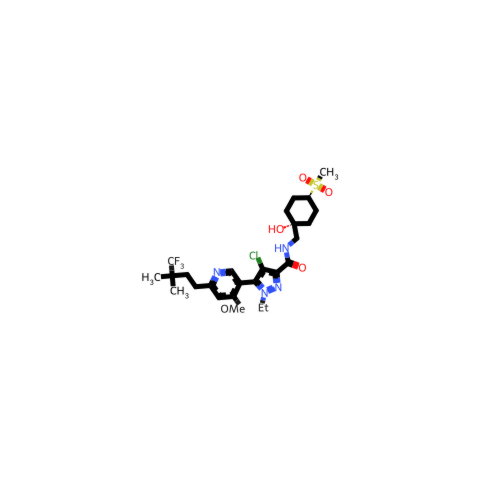 CCn1nc(C(=O)NC[C@]2(O)CC[C@@H](S(C)(=O)=O)CC2)c(Cl)c1-c1cnc(CCC(C)(C)C(F)(F)F)cc1OC